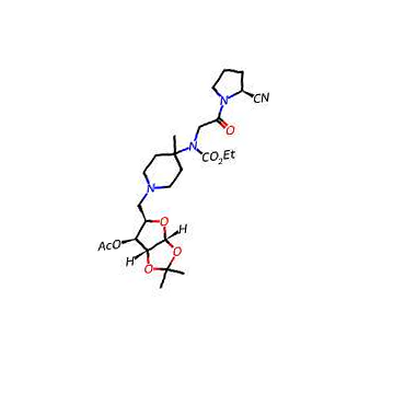 CCOC(=O)N(CC(=O)N1CCC[C@H]1C#N)C1(C)CCN(C[C@H]2O[C@@H]3OC(C)(C)O[C@@H]3[C@H]2OC(C)=O)CC1